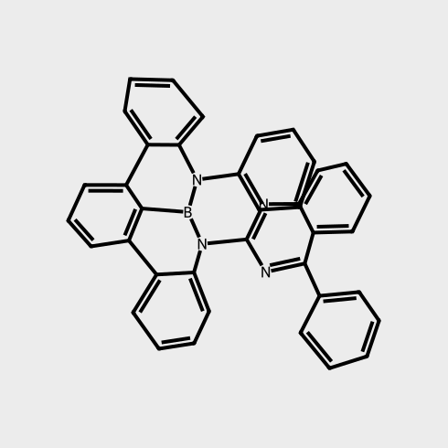 c1ccc(-c2nc(N3B4c5c(cccc5-c5ccccc53)-c3ccccc3N4c3ccccc3)nc3ccccc23)cc1